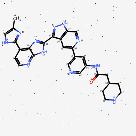 Cc1c[nH]c(-c2ccnc3[nH]c(-c4n[nH]c5cnc(-c6cncc(NC(=O)CC7CCNCC7)c6)cc45)nc23)n1